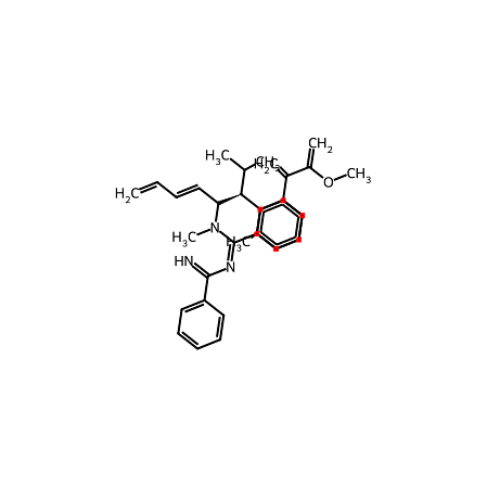 C=CC=CC([C@H](c1c(C)cccc1C(=C)C(=C)OC)C(C)C)N(C)/C(=N\C(=N)c1ccccc1)c1ccccc1